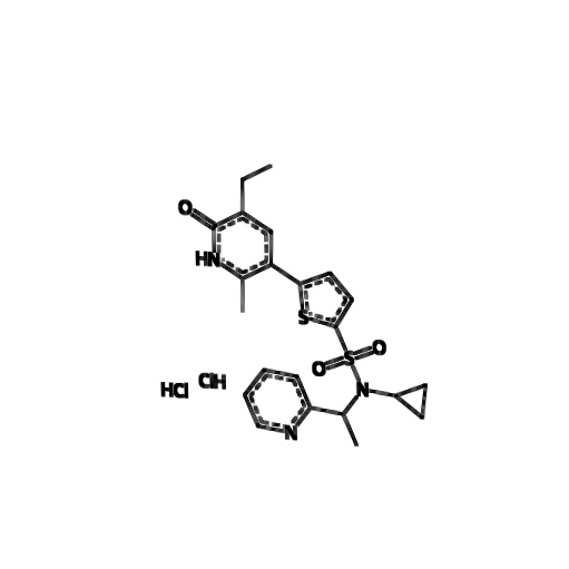 CCc1cc(-c2ccc(S(=O)(=O)N(C3CC3)C(C)c3ccccn3)s2)c(C)[nH]c1=O.Cl.Cl